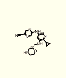 N#Cc1cnc(Nc2cc(NC[C@H]3CNCCO3)c(C3CC3)nn2)cn1